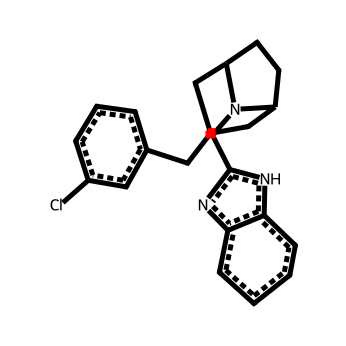 Clc1cccc(CC2CC3CCC(C2)N3Cc2nc3ccccc3[nH]2)c1